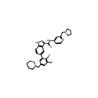 O=C(Nc1ccnc(CN2CCCC2)c1)c1n[nH]c2ccc(-c3cc(CN4CCCCC4)cc(F)c3F)cc12